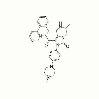 CC1Cn2c(c(C(=O)NCc3ccccc3-c3ccncn3)n(-c3ccc(N4CCN(C)CC4)cc3)c2=O)CN1